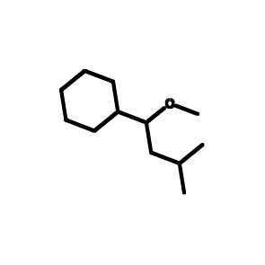 COC(CC(C)C)C1CCCCC1